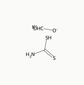 NC(=S)S.O=C[O-].[K+]